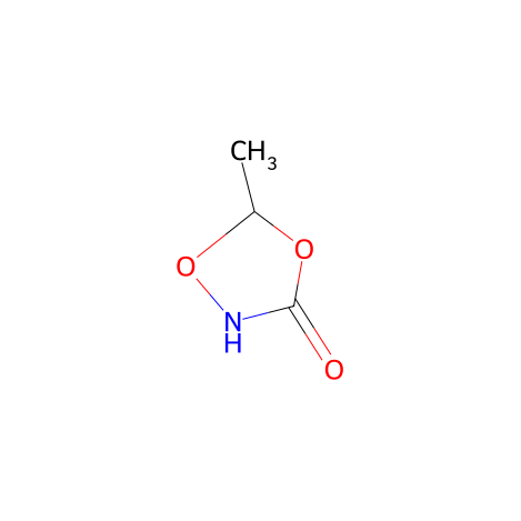 CC1ONC(=O)O1